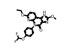 CCOc1ccc2c3[nH]c(OC)nc3c(=O)n(-c3ccc(OC(F)F)cc3)c2n1